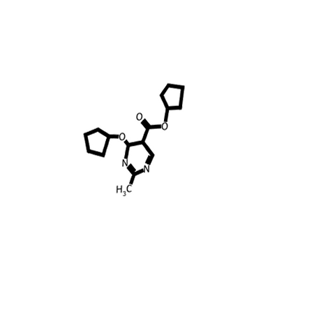 CC1=NC(OC2CCCC2)C(C(=O)OC2CCCC2)C=N1